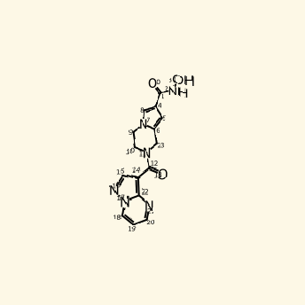 O=C(NO)c1cc2n(c1)CCN(C(=O)c1cnn3cccnc13)C2